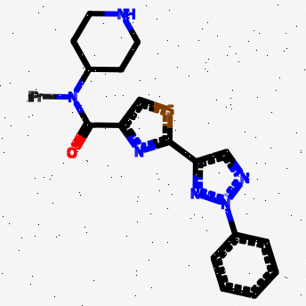 CC(C)N(C(=O)c1csc(-c2cnn(-c3ccccc3)n2)n1)C1CCNCC1